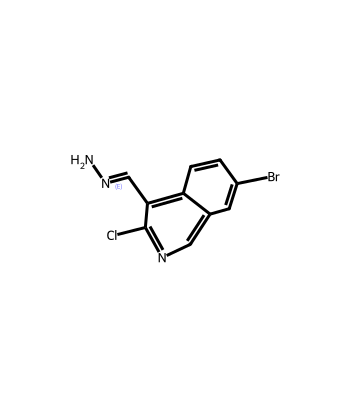 N/N=C/c1c(Cl)ncc2cc(Br)ccc12